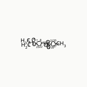 C=C(C)C(=O)Oc1ccc(COS(=O)(=O)c2ccc(C)cc2)cc1